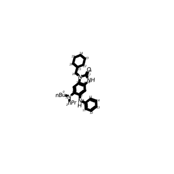 CCCCN(CCC)c1cc2c(cc1Nc1ccccc1)[nH]c(=O)n2CC1CCCCC1